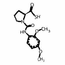 COc1ccc(NC(=O)N2CCC[C@H]2C(=O)S)c(OC)c1